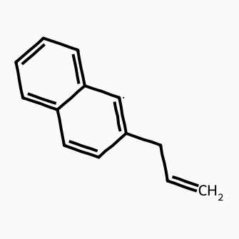 C=CCc1[c]c2ccccc2cc1